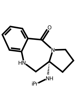 CC(C)N[C@@]12CCCN1C(=O)c1ccccc1NC2